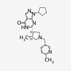 Cc1ccc(CN2C[C@@H](C)[C@H](c3nc4c(cnn4C4CCCC4)c(=O)[nH]3)C2)cn1